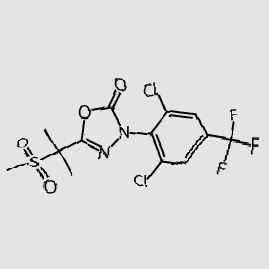 CC(C)(c1nn(-c2c(Cl)cc(C(F)(F)F)cc2Cl)c(=O)o1)S(C)(=O)=O